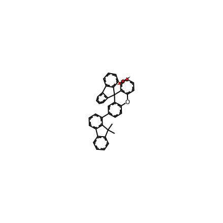 CC1(C)c2ccccc2-c2cccc(-c3ccc4c(c3)C3(c5ccccc5-c5ccccc53)c3c(ccc5ccccc35)O4)c21